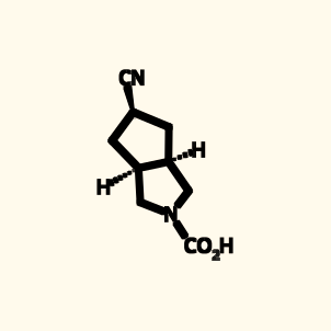 N#C[C@@H]1C[C@@H]2CN(C(=O)O)C[C@@H]2C1